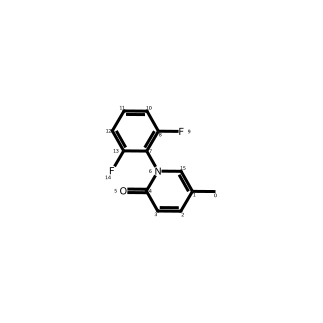 Cc1ccc(=O)n(-c2c(F)cccc2F)c1